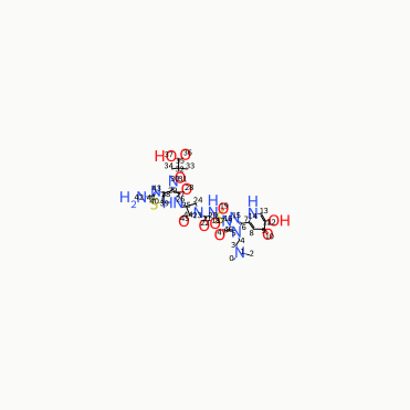 CN(C)CCn1c(-c2cc(=O)c(O)c[nH]2)nn(S(=O)(=O)NC(=O)N2C[C@H](NC(=O)/C(=N\OC(C)(C)C(=O)O)c3csc(N)n3)C2=O)c1=O